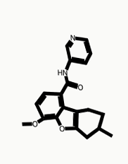 COc1ccc(C(=O)Nc2cccnc2)c2c3c(oc12)CC(C)CC3